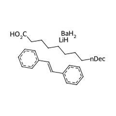 C(=C\c1ccccc1)/c1ccccc1.CCCCCCCCCCCCCCCCCC(=O)O.[BaH2].[LiH]